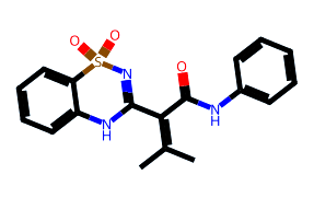 CC(C)=C(C(=O)Nc1ccccc1)C1=NS(=O)(=O)c2ccccc2N1